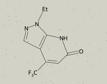 CCn1ncc2c(C(F)(F)F)cc(=O)[nH]c21